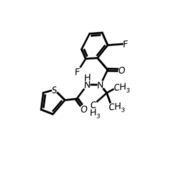 CC(C)(C)N(NC(=O)c1cccs1)C(=O)c1c(F)cccc1F